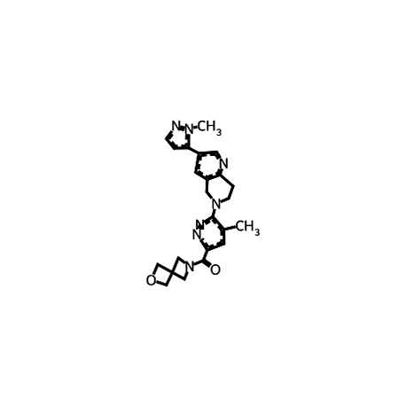 Cc1cc(C(=O)N2CC3(COC3)C2)nnc1N1CCc2ncc(-c3ccnn3C)cc2C1